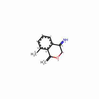 C=C1OCC(=N)c2cccc(C)c21